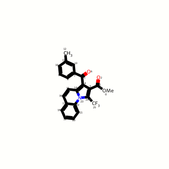 COC(=O)c1c(C(=O)c2cccc(C)c2)c2ccc3ccccc3n2c1C(F)(F)F